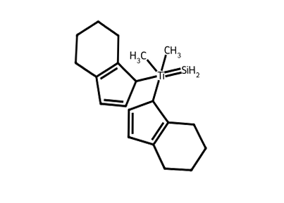 [CH3][Ti]([CH3])(=[SiH2])([CH]1C=CC2=C1CCCC2)[CH]1C=CC2=C1CCCC2